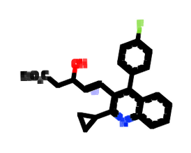 CCOC(=O)CC(O)/C=C/c1c(C2CC2)nc2ccccc2c1-c1ccc(F)cc1